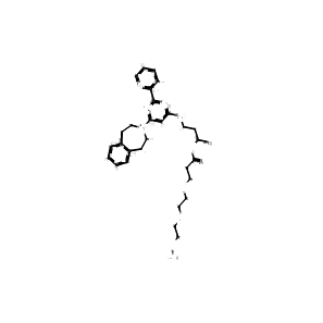 CCCOCCOCCOCCC(=O)OC(CCNc1cc(N2CCc3ccccc3CC2)nc(-c2ccccn2)n1)C(C)C